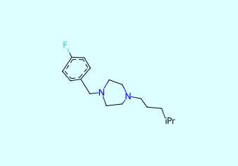 CC(C)CCCN1CCN(Cc2ccc(F)cc2)CC1